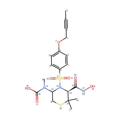 CC#CCOc1ccc(S(=O)(=O)N2C(N(C)C(=O)O)CSC(C)(C)[C@@H]2C(=O)NO)cc1